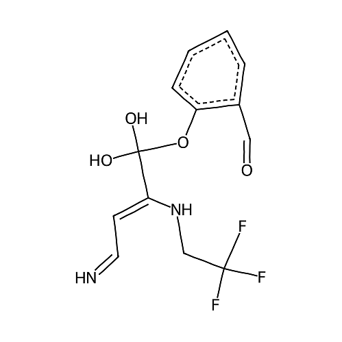 N=C/C=C(\NCC(F)(F)F)C(O)(O)Oc1ccccc1C=O